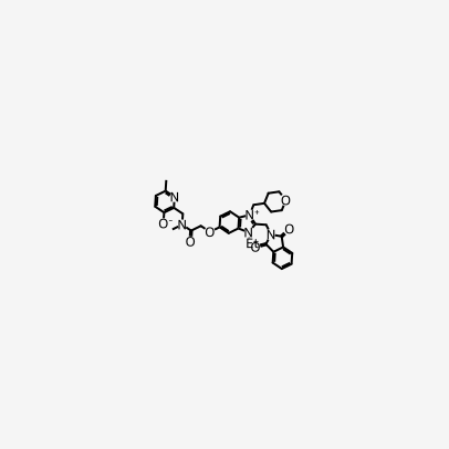 CCn1c(CN2C(=O)c3ccccc3C2=O)[n+](CC2CCOCC2)c2ccc(OCC(=O)N(C)Cc3nc(C)ccc3[O-])cc21